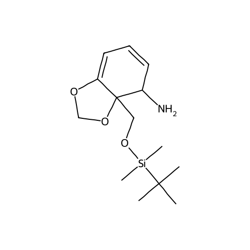 CC(C)(C)[Si](C)(C)OCC12OCOC1=CC=CC2N